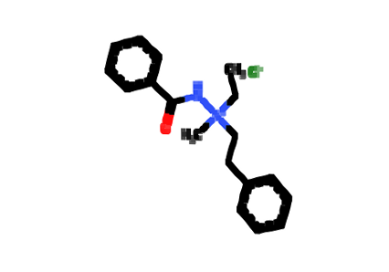 CC[N+](C)(CCc1ccccc1)NC(=O)c1ccccc1.[Cl-]